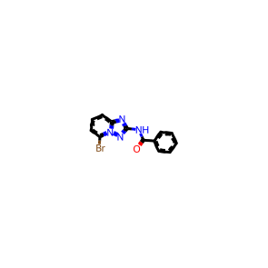 O=C(Nc1nc2cccc(Br)n2n1)c1ccccc1